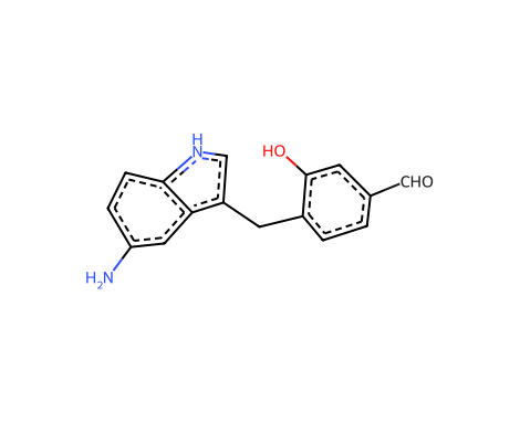 Nc1ccc2[nH]cc(Cc3ccc(C=O)cc3O)c2c1